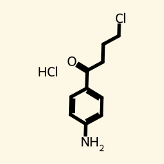 Cl.Nc1ccc(C(=O)CCCCl)cc1